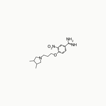 CC1CN(CCCOc2ccc(C(=N)N)cc2[N+](=O)[O-])CC1C